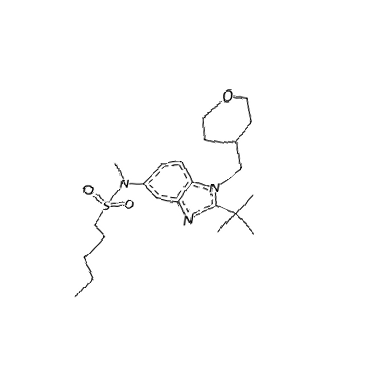 CCCCCS(=O)(=O)N(C)c1ccc2c(c1)nc(C(C)(C)C)n2CC1CCOCC1